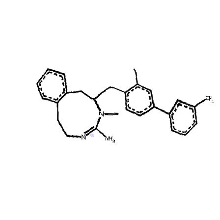 Cc1cc(-c2cccc(C(F)(F)F)c2)ccc1CC1Cc2ccccc2CC/N=C(/N)N1C